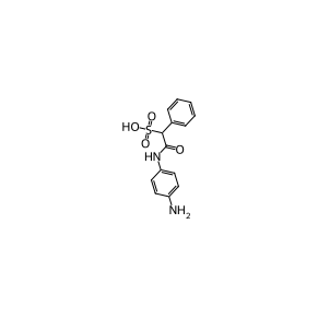 Nc1ccc(NC(=O)C(c2ccccc2)S(=O)(=O)O)cc1